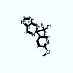 COc1ccc(C2(C(F)(F)F)N=CC3=NC=NC3=N2)cn1